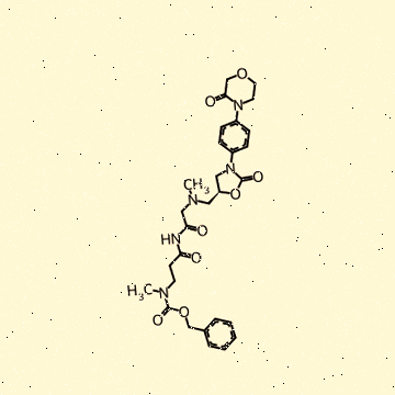 CN(CC(=O)NC(=O)CCN(C)C(=O)OCc1ccccc1)C[C@H]1CN(c2ccc(N3CCOCC3=O)cc2)C(=O)O1